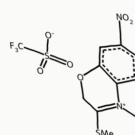 CSC1=[N+](C)c2ccc([N+](=O)[O-])cc2OC1.O=S(=O)([O-])C(F)(F)F